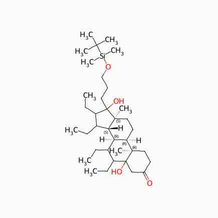 CCC1C(CC)C2(O)CC(=O)CC[C@]2(C)[C@@H]2CC[C@@]3(C)[C@@H](C(CC)C(CC)C3(O)CCCO[Si](C)(C)C(C)(C)C)[C@H]12